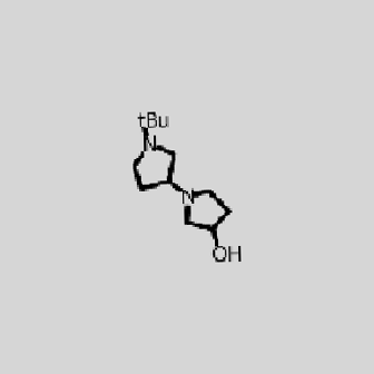 CC(C)(C)N1CCC(N2CCC(O)C2)C1